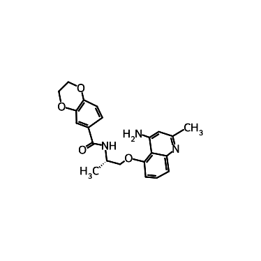 Cc1cc(N)c2c(OC[C@H](C)NC(=O)c3ccc4c(c3)OCCO4)cccc2n1